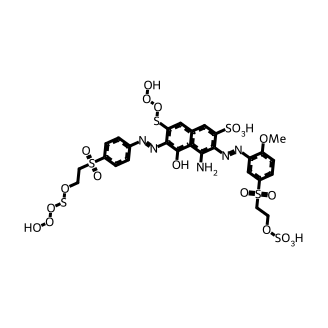 COc1ccc(S(=O)(=O)CCOS(=O)(=O)O)cc1/N=N/c1c(S(=O)(=O)O)cc2cc(SOOO)c(/N=N/c3ccc(S(=O)(=O)CCOSOOO)cc3)c(O)c2c1N